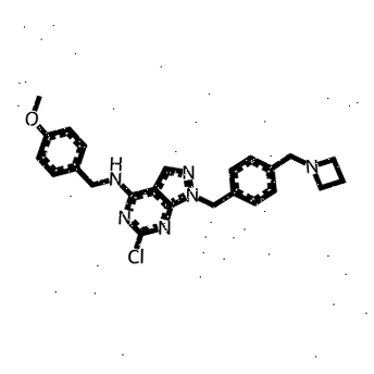 COc1ccc(CNc2nc(Cl)nc3c2cnn3Cc2ccc(CN3CCC3)cc2)cc1